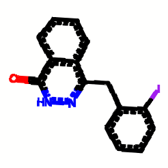 O=c1[nH]nc(Cc2ccccc2I)c2ccccc12